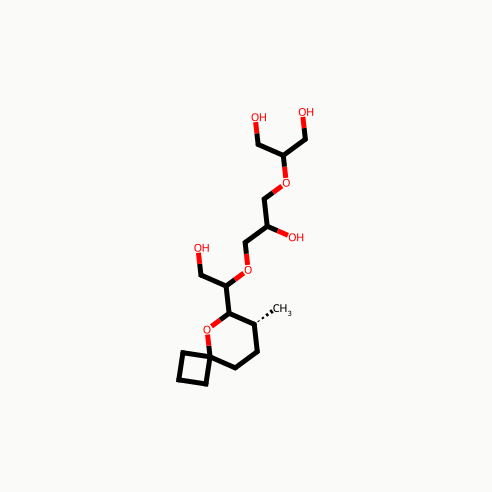 C[C@@H]1CCC2(CCC2)OC1C(CO)OCC(O)COC(CO)CO